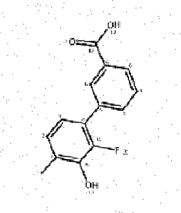 Cc1ccc(-c2cccc(C(=O)O)c2)c(F)c1O